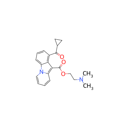 CN(C)CCOC(=O)c1c2c(C(=O)C3CC3)cccc2n2ccccc12